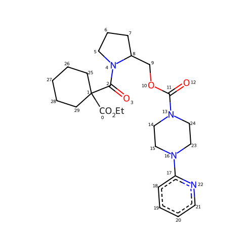 CCOC(=O)C1(C(=O)N2CCCC2COC(=O)N2CCN(c3ccccn3)CC2)CCCCC1